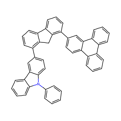 c1ccc(-n2c3ccccc3c3cc(-c4cccc5c4Cc4c(-c6ccc7c8ccccc8c8ccccc8c7c6)cccc4-5)ccc32)cc1